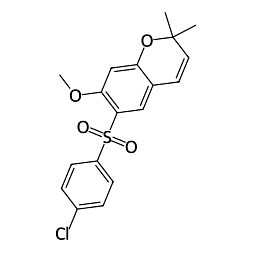 COc1cc2c(cc1S(=O)(=O)c1ccc(Cl)cc1)C=CC(C)(C)O2